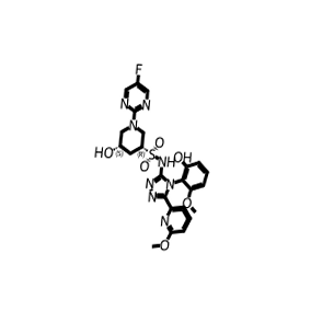 COC1=NC(c2nnc(NS(=O)(=O)[C@@H]3C[C@H](O)CN(c4ncc(F)cn4)C3)n2-c2c(O)cccc2OC)=C=C=C1